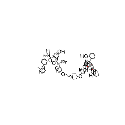 Cc1nccn1-c1ccc([C@H](C)NC(=O)[C@@H]2C[C@@H](O)CN2C(=O)[C@H](c2cc(OCCN3CCC(OC4CC(Oc5cc(N6C7CC[C@@H]6CN(c6cc(-c8ccccc8O)nnc6N)C7)ccn5)C4)CC3)no2)C(C)C)cc1